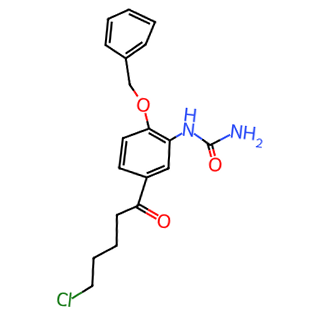 NC(=O)Nc1cc(C(=O)CCCCCl)ccc1OCc1ccccc1